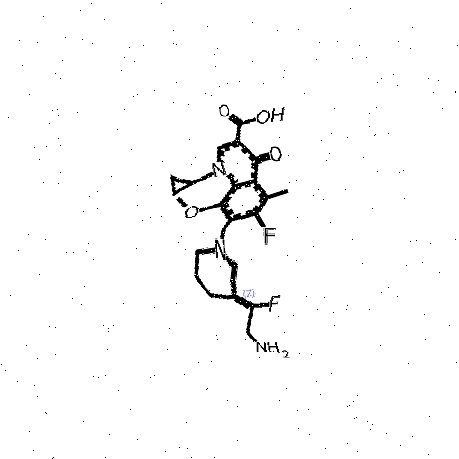 COc1c(N2CCC/C(=C(/F)CN)C2)c(F)c(C)c2c(=O)c(C(=O)O)cn(C3CC3)c12